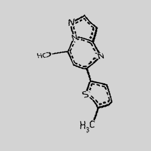 Cc1ccc(-c2cc(O)n3nccc3n2)s1